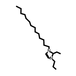 CCCCCCCCCCCCCCN1C=CN(CCC)C1CC